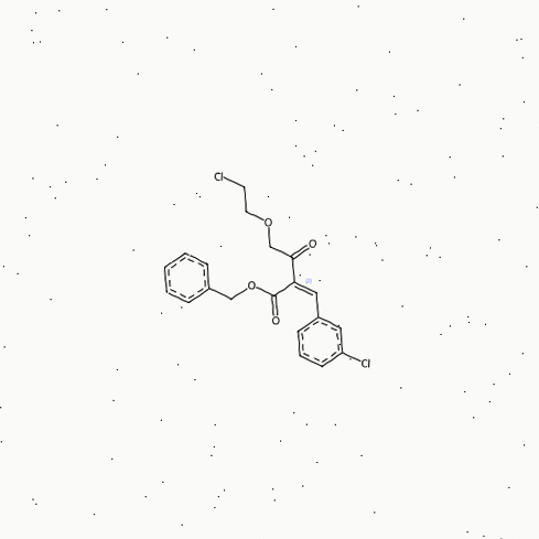 O=C(COCCCl)/C(=C/c1cccc(Cl)c1)C(=O)OCc1ccccc1